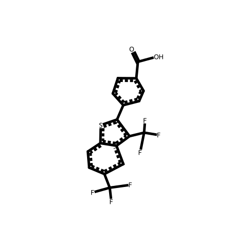 O=C(O)c1ccc(-c2sc3ccc(C(F)(F)F)cc3c2C(F)(F)F)cc1